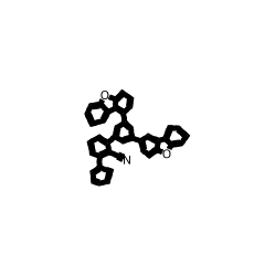 N#Cc1c(-c2ccccc2)cccc1-c1cc(-c2ccc3oc4ccccc4c3c2)cc(-c2cccc3oc4ccccc4c23)c1